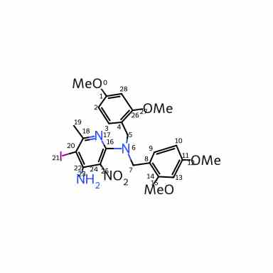 COc1ccc(CN(Cc2ccc(OC)cc2OC)c2nc(C)c(I)c(N)c2[N+](=O)[O-])c(OC)c1